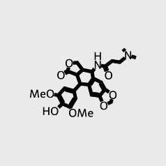 COc1cc(C2c3cc4c(cc3C(NC(=O)CCN(C)C)C3COC(=O)C23)OCO4)cc(OC)c1O